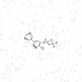 FC(F)(F)C[C@@H]1C[C@H]1c1cc(-c2cncnc2)nnc1Cl